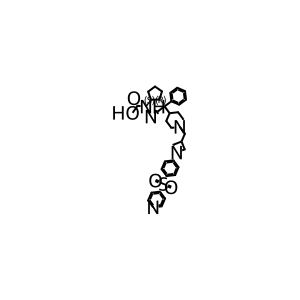 N#CC(c1ccccc1)(C1CCN(CC2CN(c3ccc(S(=O)(=O)c4ccncc4)cc3)C2)CC1)[C@H]1CCC[C@@H]1NC(=O)O